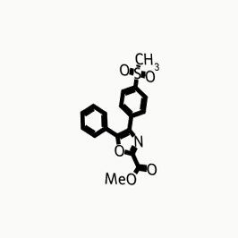 COC(=O)c1nc(-c2ccc(S(C)(=O)=O)cc2)c(-c2ccccc2)o1